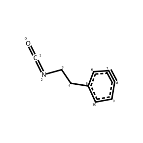 O=C=NCCc1cc#ccc1